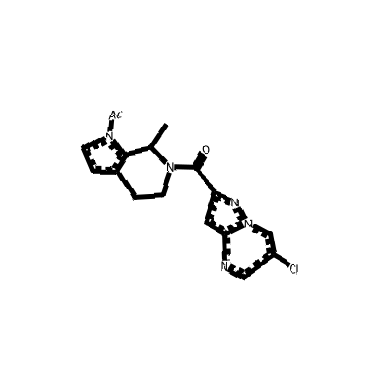 CC(=O)n1ccc2c1C(C)N(C(=O)c1cc3ncc(Cl)cn3n1)CC2